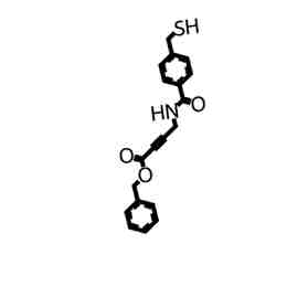 O=C(C#CCNC(=O)c1ccc(CS)cc1)OCc1ccccc1